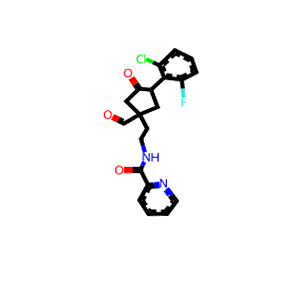 O=CC1(CCNC(=O)c2ccccn2)CC(=O)C(c2c(F)cccc2Cl)C1